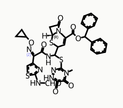 Cn1c(SC(NC(=O)/C(=N\OC2CC2)c2csc(NC=O)n2)C2C=C(C(=O)OC(c3ccccc3)c3ccccc3)N3C(=O)C[C@H]3S2)n[nH]c(=O)c1=O